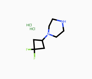 Cl.Cl.FC1(F)CC(N2CCNCC2)C1